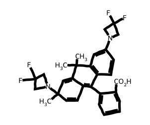 CC1(C)C2=CC(C)(N3CC(F)(F)C3)C=CC2=C(c2ccccc2C(=O)O)c2ccc(N3CC(F)(F)C3)cc21